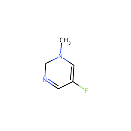 CN1C=C(F)C=NC1